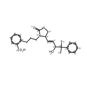 O=C(O)c1ccccc1CCCN1C(=O)SCC1/C=C/C(O)C(F)(F)c1ccccc1